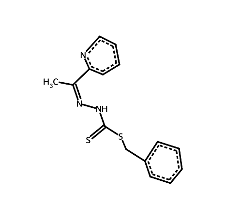 CC(=NNC(=S)SCc1ccccc1)c1ccccn1